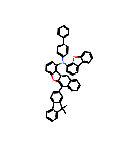 CC1(C)c2ccccc2-c2ccc(-c3c4ccccc4cc4c3oc3cccc(N(c5ccc(-c6ccccc6)cc5)c5cccc6c5oc5ccccc56)c34)cc21